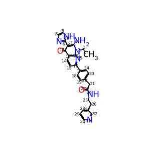 CCn1c(N)c(-c2ncc[nH]2)c(=O)c2ccc(-c3ccc(CC(=O)NCCc4cccnc4)cc3)nc21